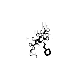 CCOC(=O)c1sc2c(c1C)c(=O)n(C(C)(C)C(N)=O)c(=O)n2CCc1ccccc1